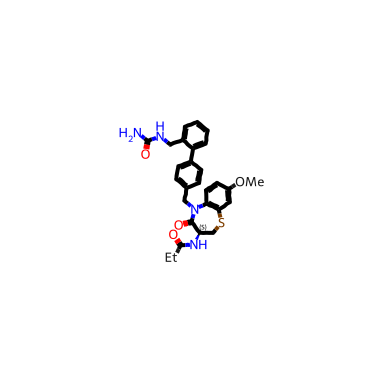 CCC(=O)N[C@@H]1CSc2cc(OC)ccc2N(Cc2ccc(-c3ccccc3CNC(N)=O)cc2)C1=O